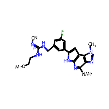 CNc1nc2[nH]c(-c3cc(F)cc(CN/C(=N\C#N)NCCOC)c3)cc2c2c1ncn2C